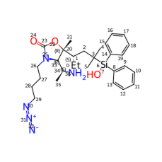 CC[C@@H](CC(C)(C)[Si](O)(c1ccccc1)c1ccccc1)[C@@]1(C)OC(=O)N(CCCCN=[N+]=[N-])[C@@H]1[C@H](C)N